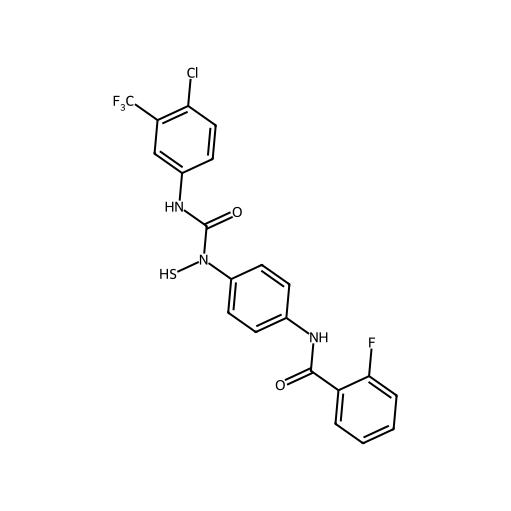 O=C(Nc1ccc(N(S)C(=O)Nc2ccc(Cl)c(C(F)(F)F)c2)cc1)c1ccccc1F